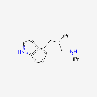 CC(C)NCC(Cc1cccc2[nH]ccc12)C(C)C